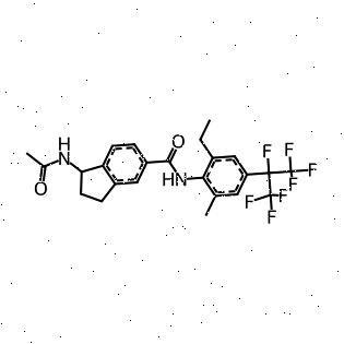 CCc1cc(C(F)(C(F)(F)F)C(F)(F)F)cc(C)c1NC(=O)c1ccc2c(c1)CCC2NC(C)=O